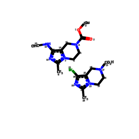 CC(C)(C)OC(=O)N1CCn2c(C(F)(F)F)nc(NC=O)c2C1.O=C(O)N1CCn2c(C(F)(F)F)nc(Br)c2C1